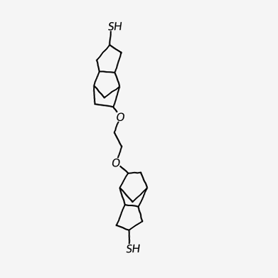 SC1CC2C3CC(OCCOC4CC5CC4C4CC(S)CC54)C(C3)C2C1